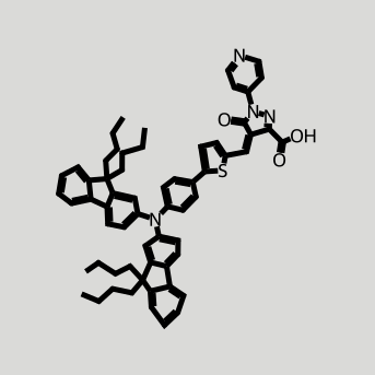 CCCCC1(CCCC)c2ccccc2-c2ccc(N(c3ccc(-c4ccc(/C=C5\C(=O)N(c6ccncc6)N=C5C(=O)O)s4)cc3)c3ccc4c(c3)C(CCCC)(CCCC)c3ccccc3-4)cc21